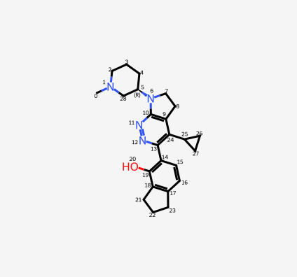 CN1CCC[C@@H](N2CCc3c2nnc(-c2ccc4c(c2O)CCC4)c3C2CC2)C1